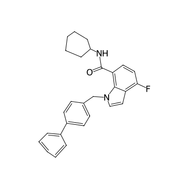 O=C(NC1CCCCC1)c1ccc(F)c2ccn(Cc3ccc(-c4ccccc4)cc3)c12